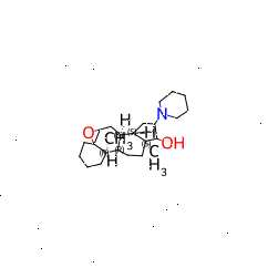 C[C@]12CC[C@@H]3[C@@H](CC4OC45CCCC[C@]35C)[C@@H]1CC(N1CCCCC1)C2O